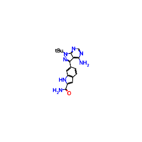 CC(C)(C)n1nc(-c2ccc3cc(C(N)=O)[nH]c3c2)c2c(N)ncnc21